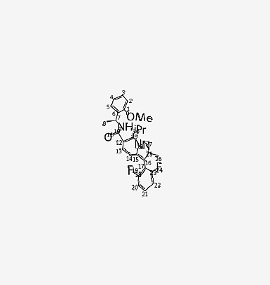 COc1ccccc1[C@H](C)NC(=O)c1ccc2c(-c3c(F)cccc3F)c(C)nn2c1C(C)C